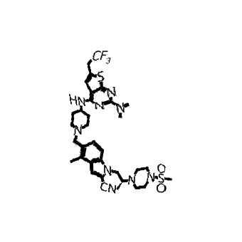 Cc1c(CN2CCC(Nc3nc(N(C)C)nc4sc(CC(F)(F)F)cc34)CC2)ccc2c1cc(C#N)n2C[C@H](C)N1CCN(S(C)(=O)=O)CC1